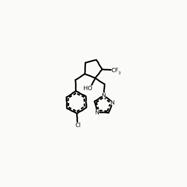 OC1(Cn2cncn2)C(Cc2ccc(Cl)cc2)CCC1C(F)(F)F